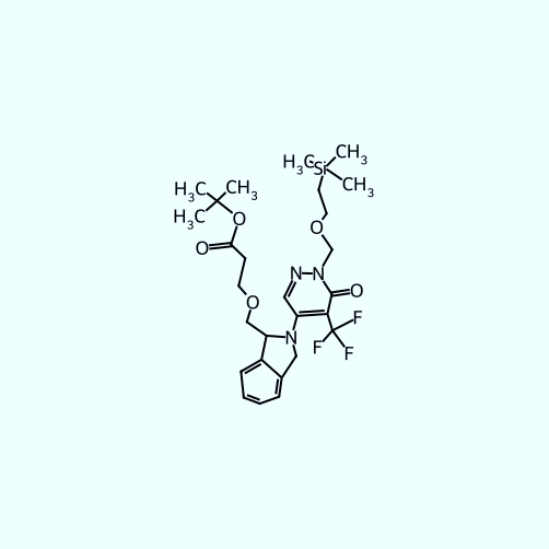 CC(C)(C)OC(=O)CCOCC1c2ccccc2CN1c1cnn(COCC[Si](C)(C)C)c(=O)c1C(F)(F)F